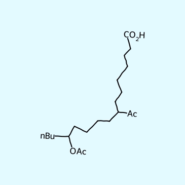 CCCCC(CCCCC(CCCCCCC(=O)O)C(C)=O)OC(C)=O